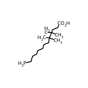 CC(C)(CCCCCCCP)C(C)(C)CCC(=O)O